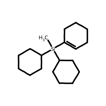 C[Si](C1=CCCCC1)(C1CCCCC1)C1CCCCC1